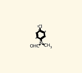 CN(C=O)c1ccc(Cl)cc1